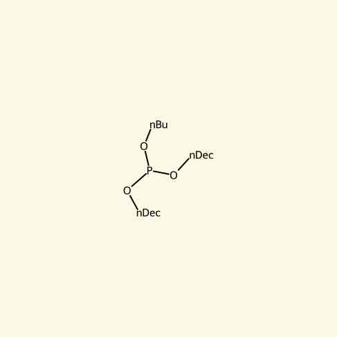 CCCCCCCCCCOP(OCCCC)OCCCCCCCCCC